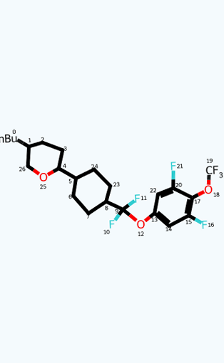 CCCCC1CCC(C2CCC(C(F)(F)Oc3cc(F)c(OC(F)(F)F)c(F)c3)CC2)OC1